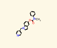 CN(C(=O)Oc1ccc2c(ccn2Cc2ccncc2)c1)c1ccccc1